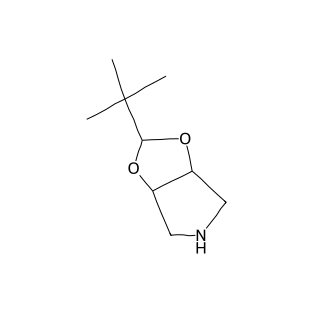 CC(C)(C)C1OC2CNCC2O1